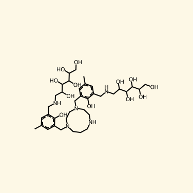 Cc1cc(CNCC(O)C(O)C(O)C(O)CO)c(O)c(CN2CCCNCCN(Cc3cc(C)cc(CNCC(O)C(O)C(O)C(O)CO)c3O)CC2)c1